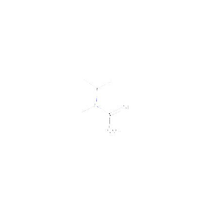 CCC(C)N(C)C(=N)NC